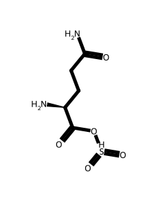 NC(=O)CC[C@H](N)C(=O)O[SH](=O)=O